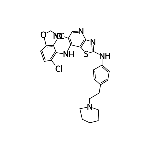 N#Cc1cnc2nc(Nc3ccc(CCN4CCCCC4)cc3)sc2c1Nc1c(Cl)ccc2c1OCO2